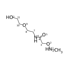 CNOCC(=O)NCCOCCO